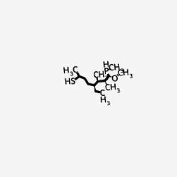 CC[C@@H](CCC(C)S)[C@@H](C)[C@@H](C)[C@@H](OC)PC